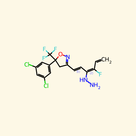 C=C/C(F)=C(\C=C\C1=NOC(c2cc(Cl)cc(Cl)c2)(C(F)(F)F)C1)NN